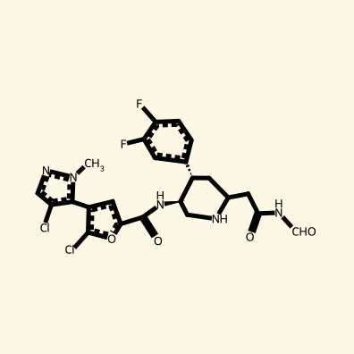 Cn1ncc(Cl)c1-c1cc(C(=O)N[C@@H]2CNC(CC(=O)NC=O)C[C@H]2c2ccc(F)c(F)c2)oc1Cl